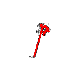 C=C(C)CO[C@H](C[C@H](C(C)C)N(C)C(=O)[C@@H](NC(=O)[C@H]1CCCC[N+]1(C)Cc1ccc(O[C@@H]2O[C@H](C(=O)O)[C@@H](O)[C@H](O)[C@H]2O)c(NC(=O)CCNC(=O)[C@@H](N)CCCCNC(=O)CCOCCOCCOCCOCCOCCOCCOCCOCCOCCOCCOCCOC)c1)[C@@H](C)CC)c1nc(C(=O)N[C@@H](Cc2ccccc2)C[C@H](C)C(=O)O)cs1